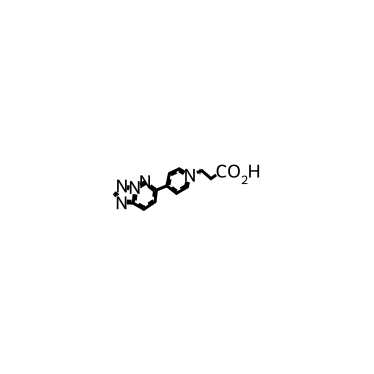 O=C(O)CC[n+]1ccc(-c2ccc3ncnn3n2)cc1